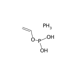 C=COP(O)O.P